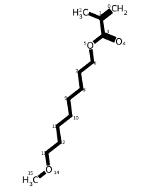 C=C(C)C(=O)OCCCCCCCCOC